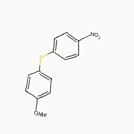 COc1ccc(Sc2ccc([N+](=O)[O-])cc2)cc1